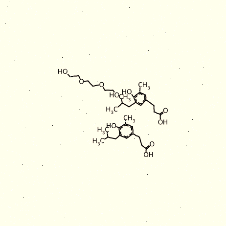 Cc1cc(CCC(=O)O)cc(CC(C)C)c1O.Cc1cc(CCC(=O)O)cc(CC(C)C)c1O.OCCOCCOCCO